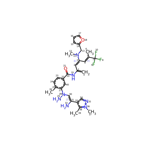 C=C(/C=C(\C=C(/C)C(F)(F)F)N(C)Cc1ccco1)NC(=O)c1ccc(C)c(N(N)/C=C(\N)c2cnn(C)c2C)c1